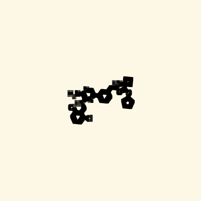 Nc1ncc(-c2cccc(CCNC3(C(=O)OC4CCCC4)CCC3)c2)nc1NCc1c(Cl)cccc1Cl